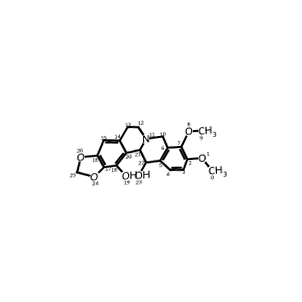 COc1ccc2c(c1OC)CN1CCc3cc4c(c(O)c3C1C2O)OCO4